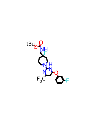 CC(C)(C)OC(=O)NCC1(F)CCCN(C2=NC(C(F)(F)F)CC(Oc3cccc(F)c3)N2)CC1